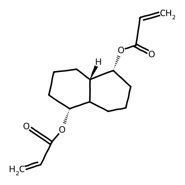 C=CC(=O)O[C@@H]1CCC[C@H]2C1CCC[C@H]2OC(=O)C=C